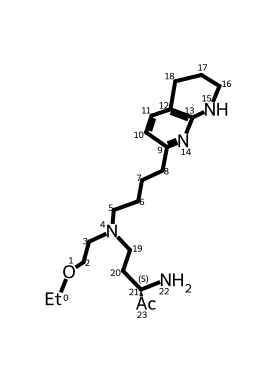 CCOCCN(CCCCc1ccc2c(n1)NCCC2)CC[C@H](N)C(C)=O